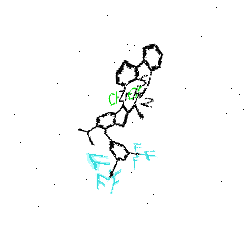 CC(C)C1=Cc2c(ccc(C(C)C)c2-c2cc(C(F)(F)F)cc(C(F)(F)F)c2)[CH]1[Zr]([Cl])([Cl])[c]1cccc2c1[SiH2]c1ccccc1-2